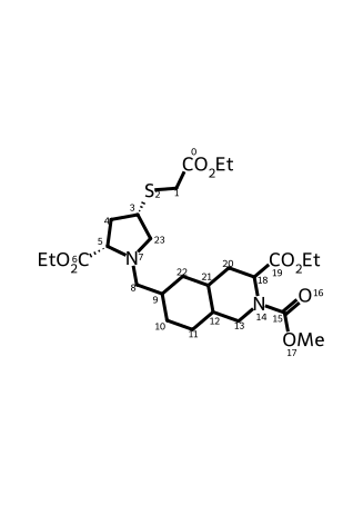 CCOC(=O)CS[C@H]1C[C@@H](C(=O)OCC)N(CC2CCC3CN(C(=O)OC)C(C(=O)OCC)CC3C2)C1